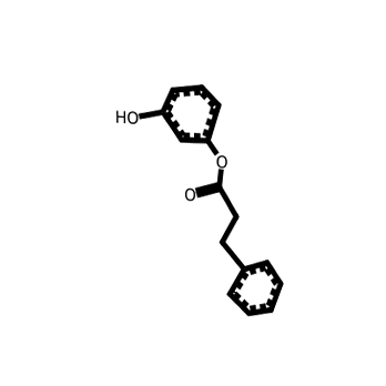 O=C(CCc1ccccc1)Oc1cccc(O)c1